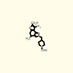 CC1Cc2oc(C(=O)O)c(C(F)(F)F)c2-c2nn(CC3CCN(C=O)CC3)cc21